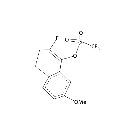 COc1ccc2c(c1)C(OS(=O)(=O)C(F)(F)F)=C(F)CC2